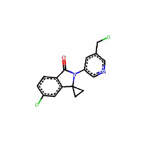 O=C1c2ccc(Cl)cc2C2(CC2)N1c1cncc(CCl)c1